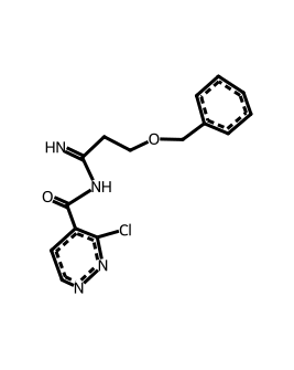 N=C(CCOCc1ccccc1)NC(=O)c1ccnnc1Cl